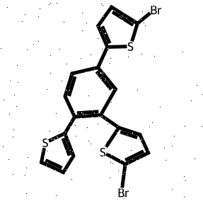 Brc1ccc(-c2ccc(-c3cccs3)c(-c3ccc(Br)s3)c2)s1